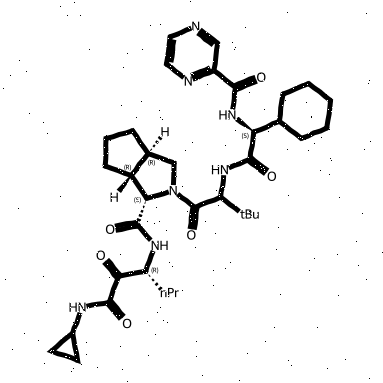 CCC[C@@H](NC(=O)[C@@H]1[C@@H]2CCC[C@H]2CN1C(=O)C(NC(=O)[C@@H](NC(=O)c1cnccn1)C1CCCCC1)C(C)(C)C)C(=O)C(=O)NC1CC1